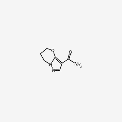 NC(=O)c1cnn2c1OCCC2